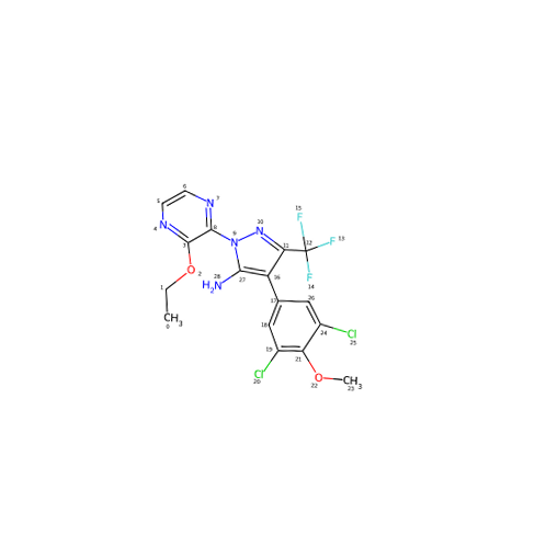 CCOc1nccnc1-n1nc(C(F)(F)F)c(-c2cc(Cl)c(OC)c(Cl)c2)c1N